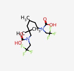 CC(CCN(CC(F)(F)F)C(=O)O)CC(C)(C)CN(CC(F)(F)F)C(=O)O